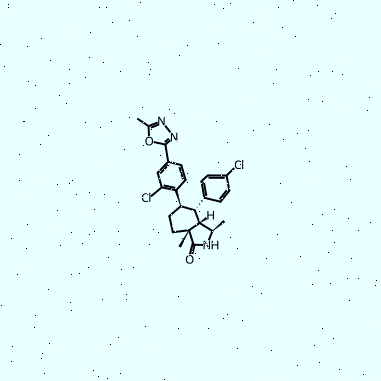 Cc1nnc(-c2ccc([C@@H]3CC[C@@]4(C)C(=O)N[C@H](C)[C@H]4[C@H]3c3ccc(Cl)cc3)c(Cl)c2)o1